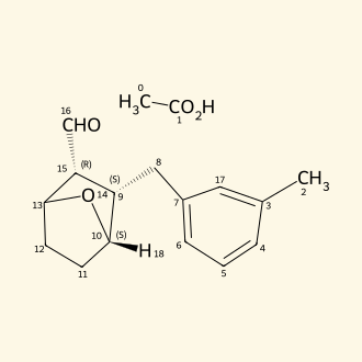 CC(=O)O.Cc1cccc(C[C@@H]2[C@@H]3CCC(O3)[C@@H]2C=O)c1